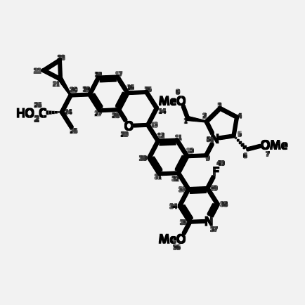 COC[C@H]1CC[C@H](COC)N1Cc1cc(C2CCc3ccc([C@H](C4CC4)[C@H](C)C(=O)O)cc3O2)ccc1-c1cc(OC)ncc1F